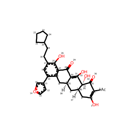 CC(=O)C1=C(O)C[C@H]2C[C@H]3Cc4c(-c5ccoc5)cc(CCC5CCCC5)c(O)c4C(=O)C3=C(O)[C@@]2(O)C1=O